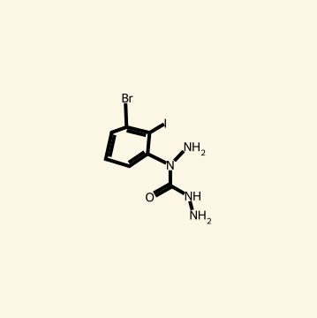 NNC(=O)N(N)c1cccc(Br)c1I